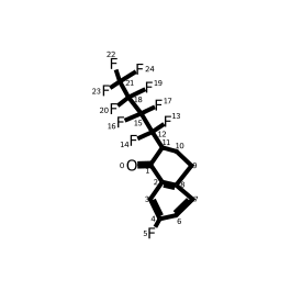 O=C1c2cc(F)ccc2CCC1C(F)(F)C(F)(F)C(F)(F)C(F)(F)F